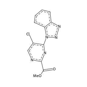 COC(=O)c1ncc(Cl)c(-n2nnc3ccccc32)n1